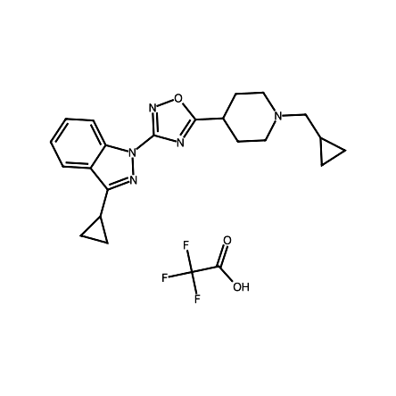 O=C(O)C(F)(F)F.c1ccc2c(c1)c(C1CC1)nn2-c1noc(C2CCN(CC3CC3)CC2)n1